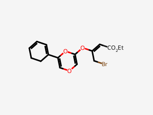 CCOC(=O)C=C(CBr)OC1=COC=C(C2=CC=CCC2)O1